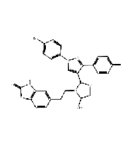 O=c1[nH]c2cc(CCN3C(O)COC3c3cn(-c4ccc(Br)cc4)nc3-c3ccc(F)cc3)ccc2s1